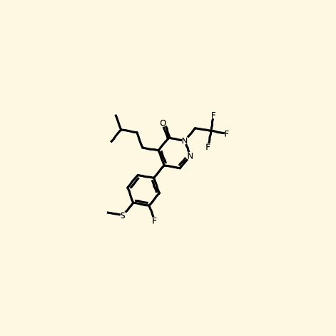 CSc1ccc(-c2cnn(CC(F)(F)F)c(=O)c2CCC(C)C)cc1F